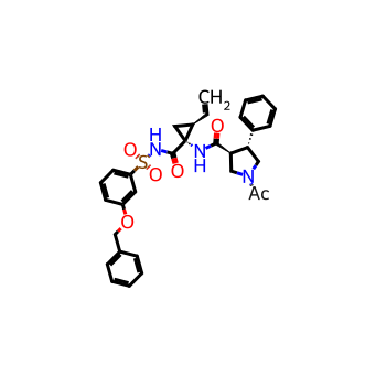 C=C[C@@H]1C[C@]1(NC(=O)[C@@H]1CN(C(C)=O)C[C@H]1c1ccccc1)C(=O)NS(=O)(=O)c1cccc(OCc2ccccc2)c1